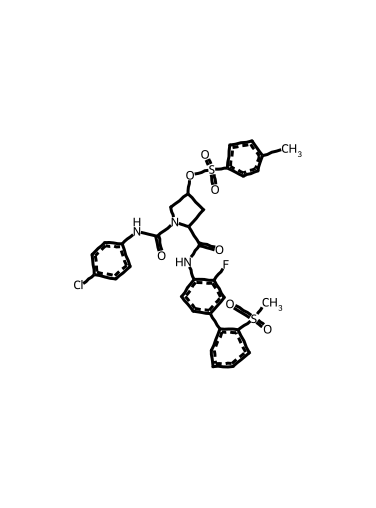 Cc1ccc(S(=O)(=O)OC2CC(C(=O)Nc3ccc(-c4ccccc4S(C)(=O)=O)cc3F)N(C(=O)Nc3ccc(Cl)cc3)C2)cc1